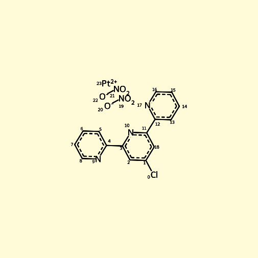 Clc1cc(-c2ccccn2)nc(-c2ccccn2)c1.O=[N+]([O-])[O-].O=[N+]([O-])[O-].[Pt+2]